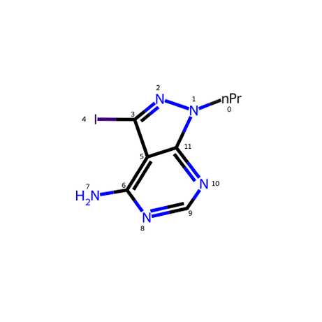 CCCn1nc(I)c2c(N)ncnc21